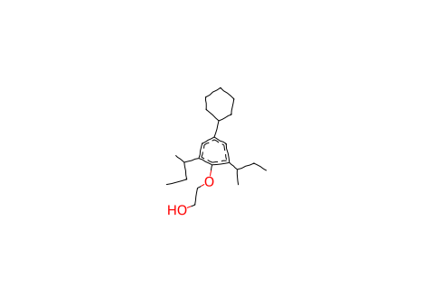 CCC(C)c1cc(C2CCCCC2)cc(C(C)CC)c1OCCO